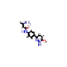 CC(N)=CC(=O)Nc1ccc(C2=NNC(=O)CC2)cc1